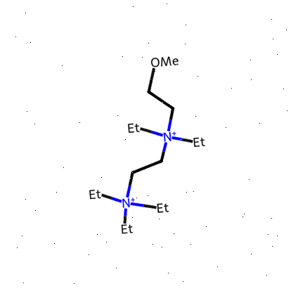 CC[N+](CC)(CC)CC[N+](CC)(CC)CCOC